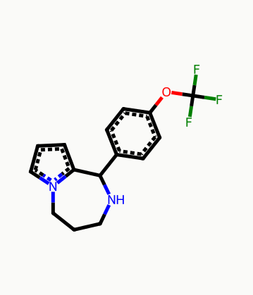 FC(F)(F)Oc1ccc(C2NCCCn3cccc32)cc1